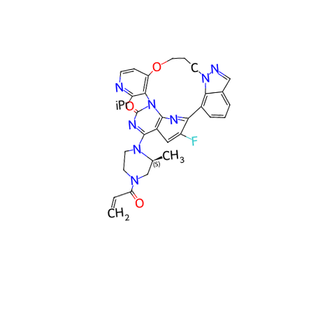 C=CC(=O)N1CCN(c2nc(=O)n3c4nc(c(F)cc24)-c2cccc4cnn(c24)CCCOc2ccnc(C(C)C)c2-3)[C@@H](C)C1